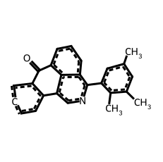 Cc1cc(C)c(C)c(-c2ncc3c4c(cccc24)C(=O)c2ccccc2-3)c1